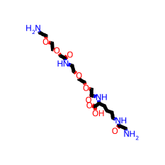 NCCOCCOCC(=O)NCCOCCOCC(=O)NC(CCCCNC(=O)CN)C(=O)O